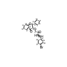 O=C(COc1c(-c2ccccc2)oc2ccccc2c1=O)NNc1ccc(Br)cc1